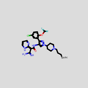 CC(=O)NCCCN1CCC(n2cc(NC(=O)/C(C(=N)N)=C3\N=CC=CN3)c(-c3cc(Cl)ccc3OC(F)F)n2)CC1